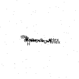 CCCCCCN(CCCCCC)CCOCCOCCOCCOCCNC(=O)OC(C)(C)C